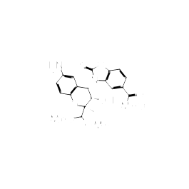 COC(=O)c1ccc2oc(=S)n([C@H]3c4cc(N)ccc4O[C@@](C)(C(OC)OC)[C@@H]3O)c2c1